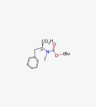 CC(C)(C)OC(=O)N(I)[C@@H](Cc1ccccc1)C(=O)O